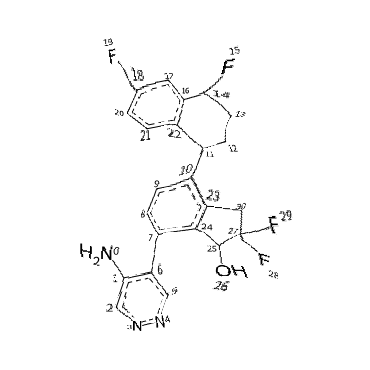 Nc1cnncc1-c1ccc(C2CCC(F)c3cc(F)ccc32)c2c1C(O)C(F)(F)C2